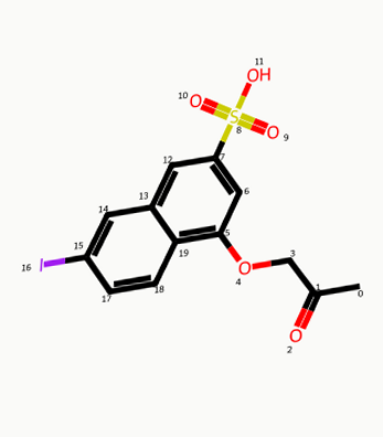 CC(=O)COc1cc(S(=O)(=O)O)cc2cc(I)ccc12